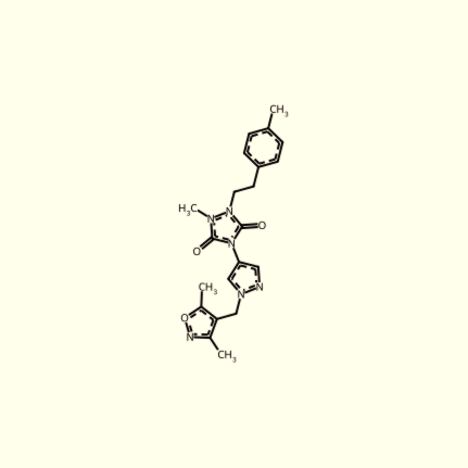 Cc1ccc(CCn2c(=O)n(-c3cnn(Cc4c(C)noc4C)c3)c(=O)n2C)cc1